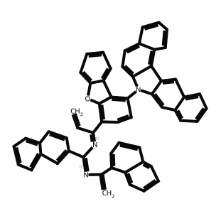 C=C/C(=N\C(=N/C(=C)c1cccc2ccccc12)c1ccc2ccccc2c1)c1ccc(-n2c3cc4ccccc4cc3c3c4ccccc4ccc32)c2c1oc1ccccc12